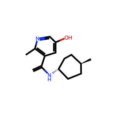 C=C(N[C@H]1CC[C@H](C)CC1)c1cc(O)cnc1C